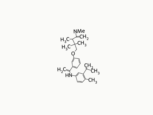 C=C(Nc1ccc(C)c(C(=C)C)c1)c1cccc(OCC(C)(C)C(C)C(=C)NC)c1